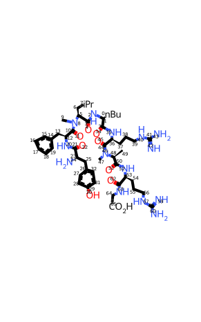 CCCC[C@H](NC(=O)[C@H](CC(C)C)N(C)C(=O)[C@H](Cc1ccccc1)NC(=O)[C@@H](N)Cc1ccc(O)cc1)C(=O)N[C@@H](CCCNC(=N)N)C(=O)N(C)[C@@H](C)C(=O)N[C@@H](CCCNC(=N)N)C(=O)NCC(=O)O